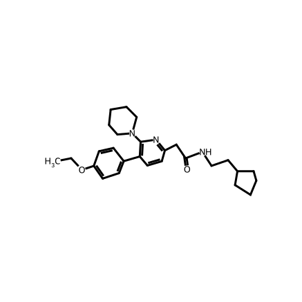 CCOc1ccc(-c2ccc(CC(=O)NCCC3CCCC3)nc2N2CCCCC2)cc1